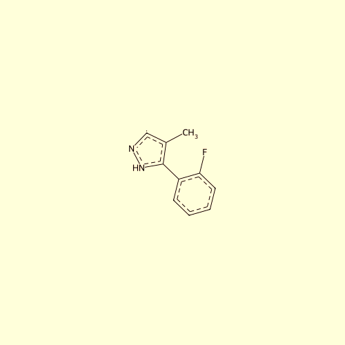 Cc1[c]n[nH]c1-c1ccccc1F